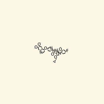 COc1cc2nccc(Oc3ccc(NC(=O)c4nn(-c5ccc(F)cc5OC)cc4OCC4CC4)nc3)c2cc1OC